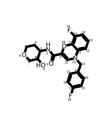 O=C(NC1CCOCC1O)C1=CN(Cc2ccc(F)cc2)c2cccc(F)c2O1